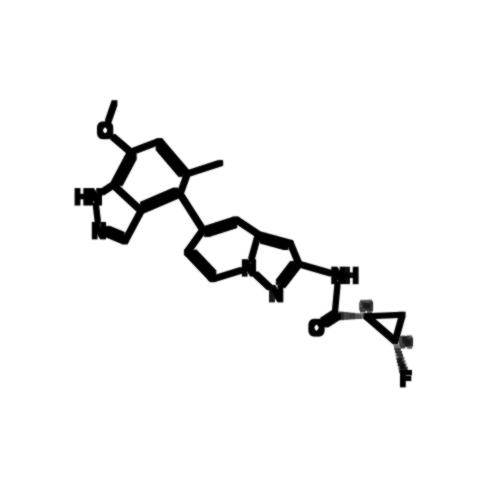 COc1cc(C)c(-c2ccn3nc(NC(=O)[C@@H]4C[C@@H]4F)cc3c2)c2cn[nH]c12